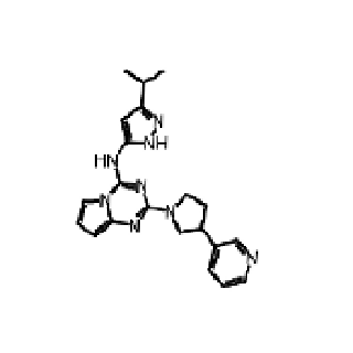 CC(C)c1cc(Nc2nc(N3CCC(c4cccnc4)C3)nc3cccn23)[nH]n1